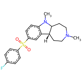 CN1CCC2[C@H](CC1)c1cc(S(=O)(=O)c3ccc(F)cc3)ccc1N2C